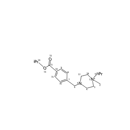 CCC[N+]1(C)CCN(Cc2ccc(C(=O)OC(C)C)cc2)CC1